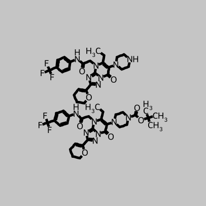 CCc1c(N2CCN(C(=O)OC(C)(C)C)CC2)c(=O)n2nc(C3=CCCCO3)nc2n1CC(=O)Nc1ccc(C(F)(F)F)cc1.CCc1c(N2CCNCC2)c(=O)n2nc(C3=CCCCO3)nc2n1CC(=O)Nc1ccc(C(F)(F)F)cc1